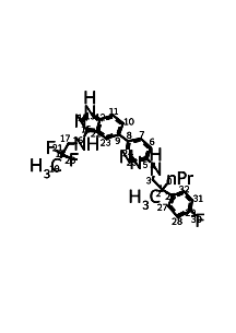 CCCC(C)(CNc1ccc(-c2ccc3[nH]nc(NCC(C)(F)F)c3c2)nn1)c1ccc(F)cc1